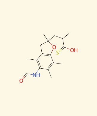 Cc1c(C)c2c(c(C)c1NC=O)CC(C)(CC(C)C(O)=S)O2